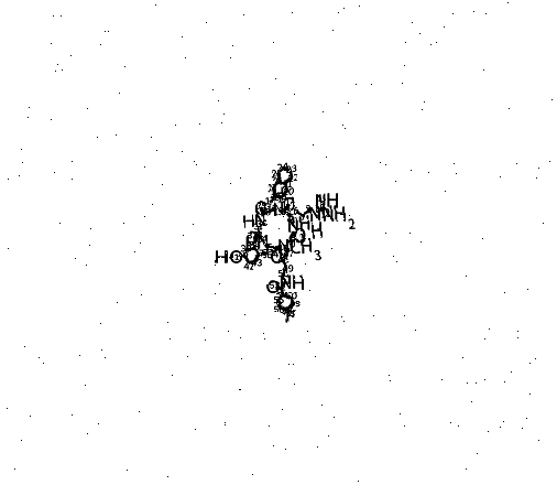 C[C@@H]1C(=O)N[C@@H](CCCNC(=N)N)C(=O)N[C@@H](Cc2ccc3ccccc3c2)C(=O)NCC(=O)N[C@H](Cc2ccc(O)cc2)C(=O)N1CCCCNC(=O)c1ccc(F)cc1